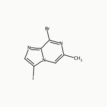 Cc1cn2c(I)cnc2c(Br)n1